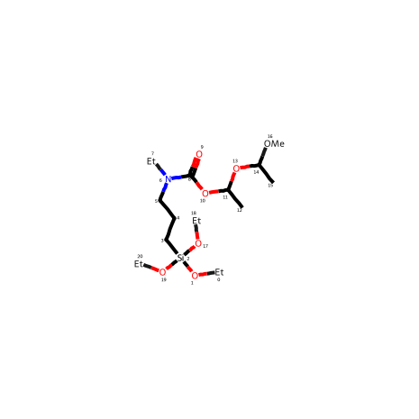 CCO[Si](CCCN(CC)C(=O)OC(C)OC(C)OC)(OCC)OCC